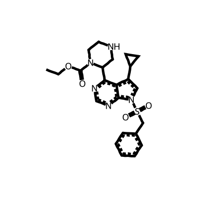 CCOC(=O)N1CCNCC1c1ncnc2c1c(C1CC1)cn2S(=O)(=O)Cc1ccccc1